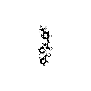 O=C([C@@H]1CCc2nn(Cc3ccc(C(F)(F)F)nc3)c(=O)n21)N1CCCC1